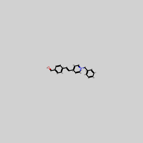 O=Cc1ccc(C=Cc2cc[n+](Cc3ccccc3)cc2)cc1